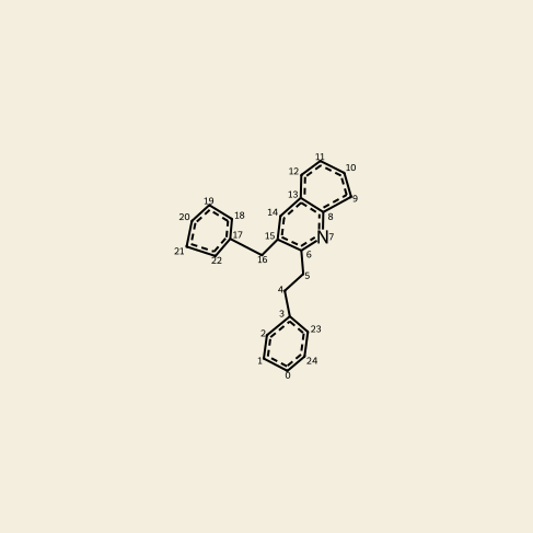 c1ccc(CCc2nc3ccccc3cc2Cc2ccccc2)cc1